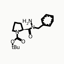 CC(C)(C)OC(=O)N1CCC[C@H]1C(=O)N(N)Cc1ccccc1